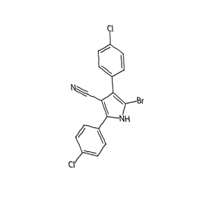 N#Cc1c(-c2ccc(Cl)cc2)[nH]c(Br)c1-c1ccc(Cl)cc1